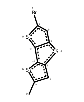 Cc1cc2sc3cc(Br)sc3c2s1